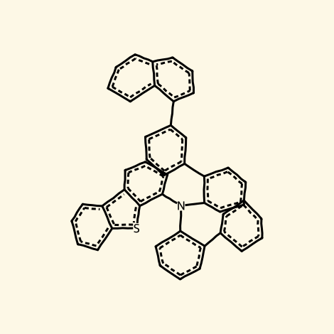 c1ccc(-c2ccccc2N(c2ccccc2-c2cccc(-c3cccc4ccccc34)c2)c2cccc3c2sc2ccccc23)cc1